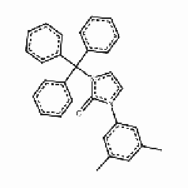 Cc1cc(C)cc(-n2ccn(C(c3ccccc3)(c3ccccc3)c3ccccc3)c2=O)c1